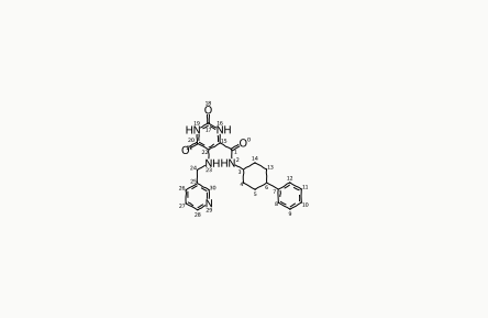 O=C(NC1CCC(c2ccccc2)CC1)c1[nH]c(=O)[nH]c(=O)c1NCc1cccnc1